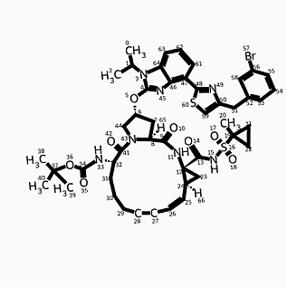 CC(C)n1c(O[C@@H]2C[C@H]3C(=O)N[C@]4(C(=O)NS(=O)(=O)C5(C)CC5)C[C@H]4/C=C\CCCCC[C@H](NC(=O)OC(C)(C)C)C(=O)N3C2)nc2c(-c3nc(Cc4cccc(Br)c4)cs3)cccc21